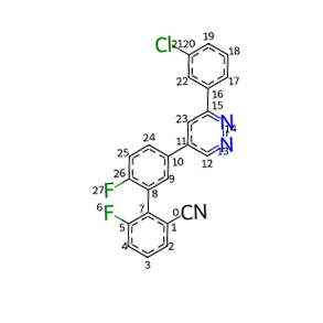 N#Cc1cccc(F)c1-c1cc(-c2cnnc(-c3cccc(Cl)c3)c2)ccc1F